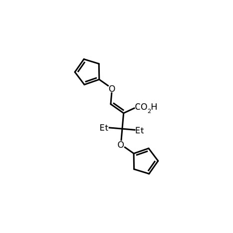 CCC(CC)(OC1=CC=CC1)C(=COC1=CC=CC1)C(=O)O